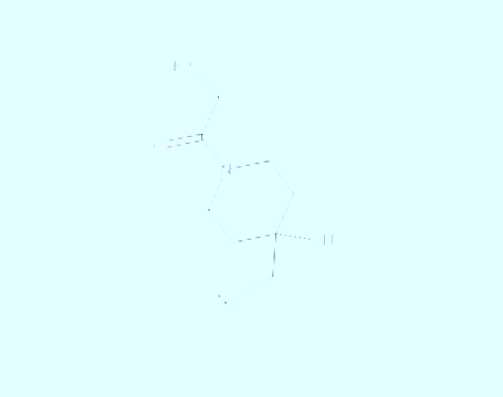 CC1(CC#N)CCN(C(=O)CC(F)(F)F)CC1